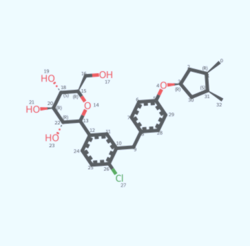 C[C@@H]1C[C@H](Oc2ccc(Cc3cc(C4O[C@H](CO)[C@@H](O)[C@H](O)[C@H]4O)ccc3Cl)cc2)C[C@@H]1C